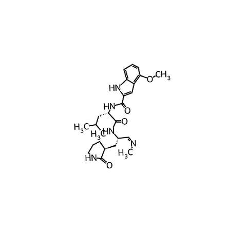 C/N=C\[C@H](C[C@@H]1CCCNC1=O)NC(=O)[C@H](CC(C)C)NC(=O)c1cc2c(OC)cccc2[nH]1